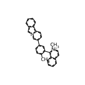 Cc1ccc(-c2ccc3c4ccccc4cn3c2)cc1-c1c2ccccc2cc[n+]1C